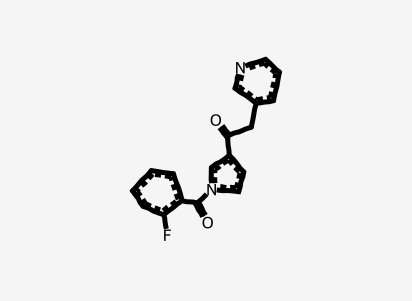 O=C(Cc1cccnc1)c1ccn(C(=O)c2ccccc2F)c1